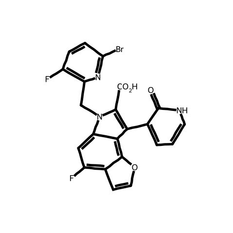 O=C(O)c1c(-c2ccc[nH]c2=O)c2c3occc3c(F)cc2n1Cc1nc(Br)ccc1F